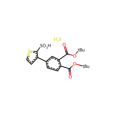 CC(C)(C)OC(=O)c1ccc(-c2ccsc2S(=O)(=O)O)cc1C(=O)OC(C)(C)C.S